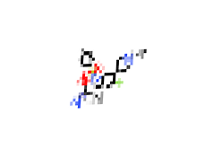 Cc1ccc(S(=O)(=O)n2c(C(=O)/C(C#N)=C/N(C)C)cc3cc(F)c(C4CCN(C(C)C)CC4)cc32)cc1